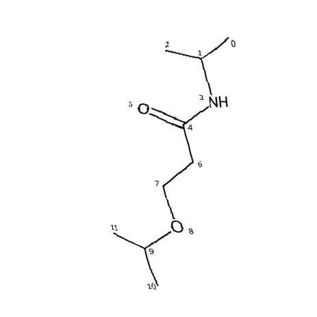 CC(C)NC(=O)CCOC(C)C